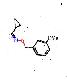 COc1cccc(CO/N=[C]\C2CC2)c1